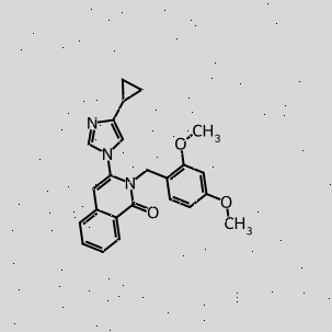 COc1ccc(Cn2c(-n3cnc(C4CC4)c3)cc3ccccc3c2=O)c(OC)c1